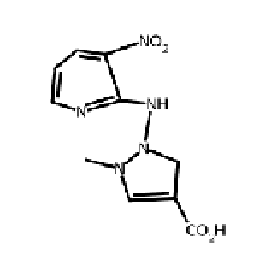 CN1C=C(C(=O)O)CN1Nc1ncccc1[N+](=O)[O-]